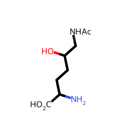 CC(=O)NCC(O)CCC(N)C(=O)O